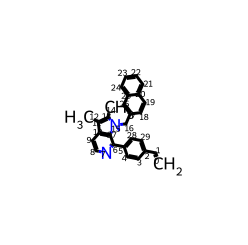 C=Cc1ccc(-c2nccc3c(C)c(C)n(Cc4ccc5ccccc5c4)c23)cc1